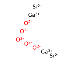 [Ga+3].[Ga+3].[O-2].[O-2].[O-2].[O-2].[O-2].[Sr+2].[Sr+2]